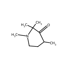 CC1CCN(C)C(C)(C)C1=O